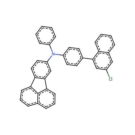 Clc1cc(-c2ccc(N(c3ccccc3)c3ccc4c(c3)-c3cccc5cccc-4c35)cc2)c2ccccc2c1